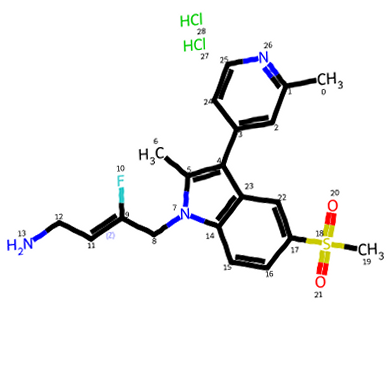 Cc1cc(-c2c(C)n(C/C(F)=C/CN)c3ccc(S(C)(=O)=O)cc23)ccn1.Cl.Cl